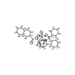 O=C(OC(C(F)(F)F)C(F)(F)S(=O)(=O)OS(c1ccccc1)(c1ccccc1)c1ccccc1)c1ccc2ccccc2c1